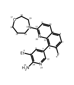 CCc1cc(-c2c(F)ccc3ccc(N4CCCOCC4)nc23)cnc1N